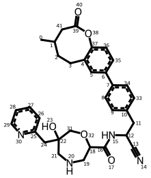 CC1CCc2cc(-c3ccc(CC(C#N)NC(=O)C4CNCC(O)(Cc5ccccn5)CO4)cc3)ccc2OC(=O)C1